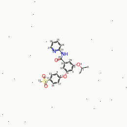 CC(C)Oc1cc(Oc2ccc(S(C)(=O)=O)cc2)cc(C(=O)Nc2ccccn2)c1